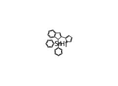 [Hf][Sn]([c]1ccccc1)([c]1ccccc1)[CH]1C(C2=CC=CC2)=Cc2ccccc21